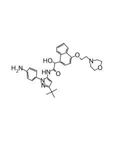 CC(C)(C)c1cc(NC(=O)C(O)c2ccc(OCCN3CCOCC3)c3ccccc23)n(-c2ccc(N)cc2)n1